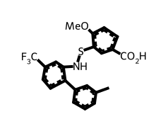 COc1ccc(C(=O)O)cc1SNc1cc(C(F)(F)F)ccc1-c1cccc(C)c1